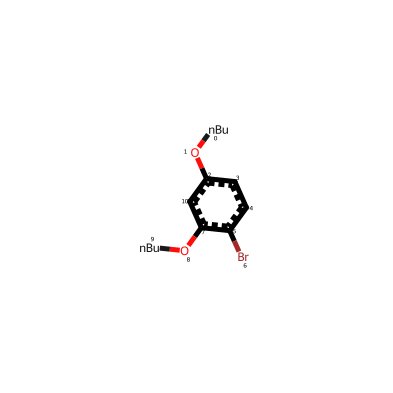 CCCCOc1ccc(Br)c(OCCCC)c1